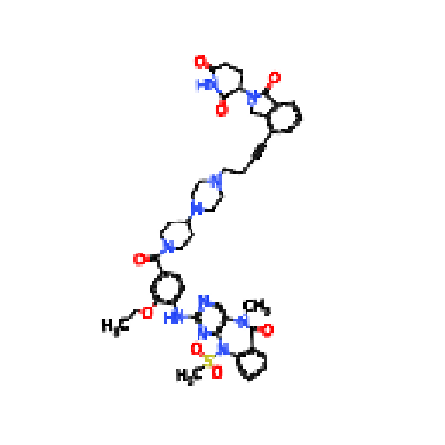 CCOc1cc(C(=O)N2CCC(N3CCN(CCC#Cc4cccc5c4CN(C4CCC(=O)NC4=O)C5=O)CC3)CC2)ccc1Nc1ncc2c(n1)N(S(C)(=O)=O)c1ccccc1C(=O)N2C